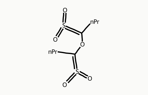 CCCC(OC(CCC)=S(=O)=O)=S(=O)=O